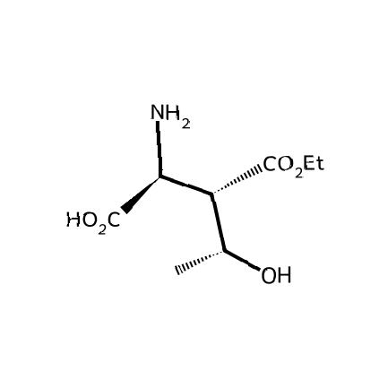 CCOC(=O)[C@@H]([C@H](N)C(=O)O)[C@@H](C)O